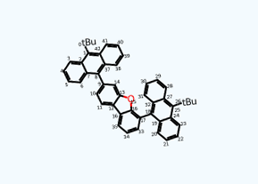 CC(C)(C)c1c2ccccc2c(-c2ccc3c(c2)oc2c(-c4c5ccccc5c(C(C)(C)C)c5ccccc45)cccc23)c2ccccc12